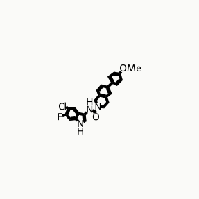 COc1ccc(-c2ccc3c(c2)CCN(C(=O)Nc2c[nH]c4cc(F)c(Cl)cc24)C3)cc1